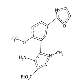 CCOC(=O)c1nn(C)c(-c2cc(-c3ncco3)ccc2OC(F)(F)F)c1N